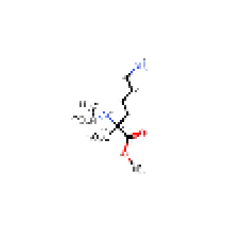 CC(=O)O.CCCCOC(=O)C(N)(CCCCN)C(=O)O